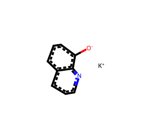 [K+].[O-]c1cccc2cccnc12